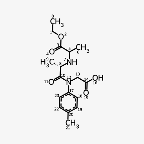 CCOC(=O)C(C)N[C@@H](C)C(=O)N(CC(=O)O)c1ccc(C)cc1